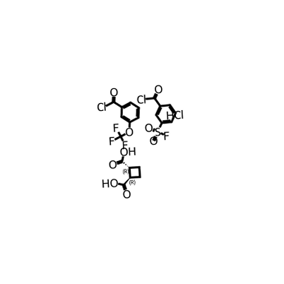 Cl.O=C(Cl)c1cccc(OC(F)(F)F)c1.O=C(Cl)c1cccc(S(=O)(=O)F)c1.O=C(O)[C@@H]1CC[C@H]1C(=O)O